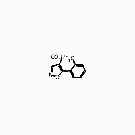 O=C(O)c1cnoc1-c1ccccc1C(F)(F)F